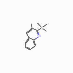 Cc1cc2ccccc2nc1[Si](C)(C)C